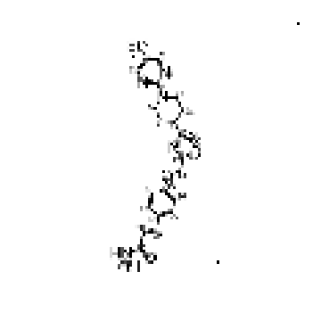 CCc1cnc(N2CCC(c3noc(COc4ccc(C=CC(=O)NO)cc4)n3)CC2)nc1